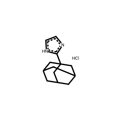 Cl.c1c[nH]c(C23CC4CC(CC(C4)C2)C3)n1